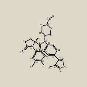 COC1CCC(n2c([C@@]3(C)CCC(=O)N3c3ccc(F)c(F)c3)nc3cc(-c4csnc4C)ccc32)CC1